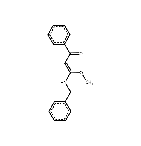 COC(=CC(=O)c1ccccc1)NCc1ccccc1